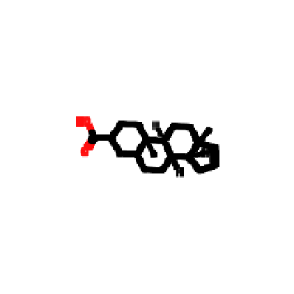 C[C@@]12C=CC[C@H]1[C@@H]1CCC3CC(C(=O)O)CC[C@]3(C)[C@H]1CC2